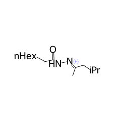 CCCCCCCC(=O)N/N=C(\C)CC(C)C